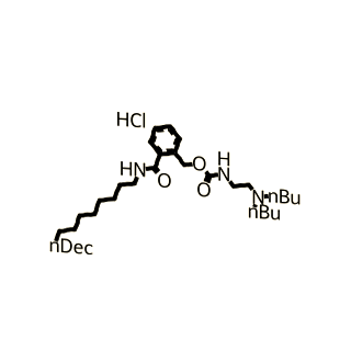 CCCCCCCCCCCCCCCCCCNC(=O)c1ccccc1COC(=O)NCCN(CCCC)CCCC.Cl